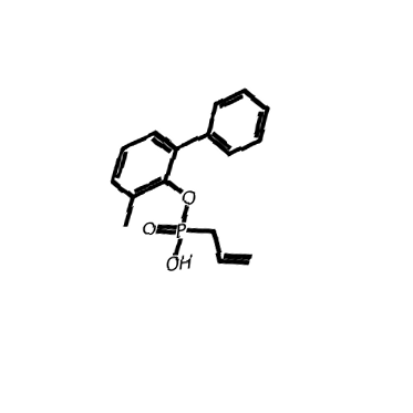 C=CCP(=O)(O)Oc1c(C)cccc1-c1ccccc1